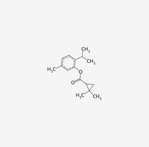 Cc1ccc(C(C)C)c(OC(=O)C2CC2(C)C)c1